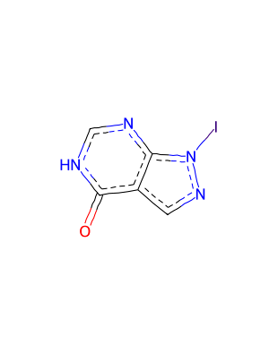 O=c1[nH]cnc2c1cnn2I